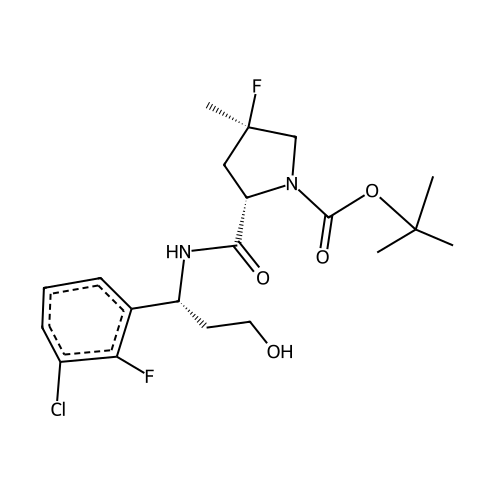 CC(C)(C)OC(=O)N1C[C@](C)(F)C[C@H]1C(=O)N[C@H](CCO)c1cccc(Cl)c1F